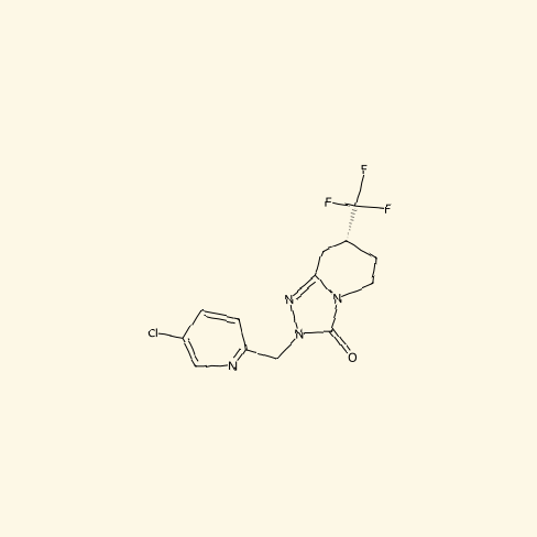 O=c1n(Cc2ccc(Cl)cn2)nc2n1CC[C@@H](C(F)(F)F)C2